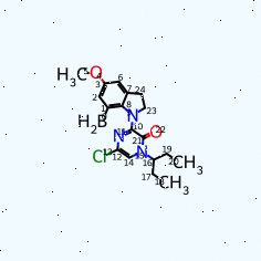 Bc1cc(OC)cc2c1N(c1nc(Cl)cn(C(CC)CC)c1=O)CC2